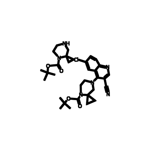 CC(C)(C)OC(=O)N1CCN(c2c(C#N)cnc3ccc(Cl)cc23)CC12CC2.CC(C)(C)OC(=O)N1CCNCC12CC2